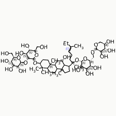 CC/C(C)=C/CC[C@@](C)(O[C@@H]1O[C@H](CO[C@@H]2OC[C@@H](O)[C@H](O)[C@H]2O)[C@@H](O)[C@@H](O)[C@H]1O)C1CC[C@]2(C)C3CCC4C(C)(C)C(O[C@@H]5O[C@H](CO)[C@@H](O)[C@H](O)[C@H]5O[C@@H]5O[C@H](CO)[C@@H](O)[C@H](O)[C@H]5O)CC[C@]4(C)C3C[C@H](O)C12